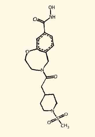 CS(=O)(=O)N1CCC(CC(=O)N2CCOc3cc(C(=O)NO)ccc3C2)CC1